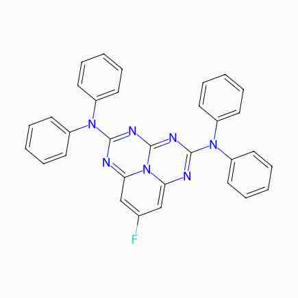 FC1=CC2=NC(N(c3ccccc3)c3ccccc3)=NC3=NC(N(c4ccccc4)c4ccccc4)=NC(=C1)N23